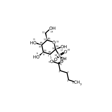 CCCCC(=O)O[C@@H]1[C@@H](O)[C@@H](O)[C@@H](CO)O[C@]1(O)S(=O)(=O)O